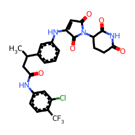 CC(CC(=O)Nc1ccc(C(F)(F)F)c(Cl)c1)c1cccc(NC2=CC(=O)N(C3CCC(=O)NC3=O)C2=O)c1